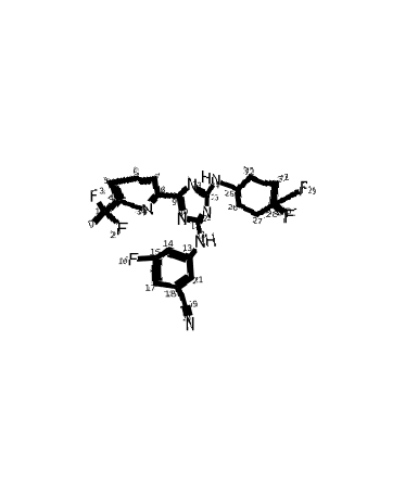 CC(F)(F)c1cccc(-c2nc(Nc3cc(F)cc(C#N)c3)nc(NC3CCC(F)(F)CC3)n2)n1